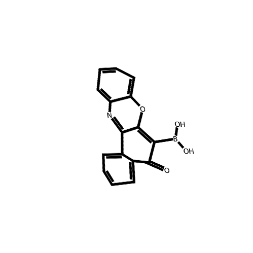 O=c1c(B(O)O)c2oc3ccccc3nc-2c2ccccc12